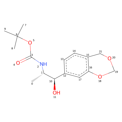 C[C@H](NC(=O)OC(C)(C)C)[C@H](O)c1ccc2c(c1)OCOC2